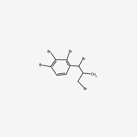 CC(CBr)[C](Br)c1ccc(Br)c(Br)c1Br